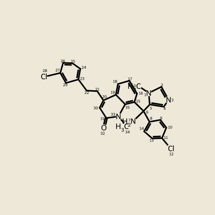 Cn1cncc1C(N)(c1ccc(Cl)cc1)c1cccc2c(CCc3cccc(Cl)c3)cc(=O)n(C)c12